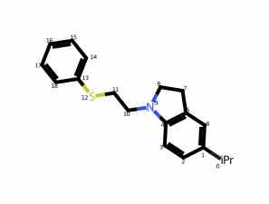 CC(C)c1ccc2c(c1)CCN2CCSc1ccccc1